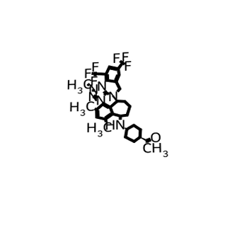 Cc1cc(C)c2c(c1)[C@@H](N(Cc1cc(C(F)(F)F)cc(C(F)(F)F)c1)c1nnn(C)n1)CCCC2N[C@H]1CC[C@H](C(C)=O)CC1